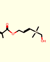 C=C(C)C(=O)OCC=C[Si](C)(C)CO